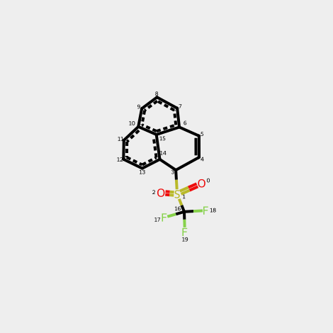 O=S(=O)(C1C=Cc2cccc3cccc1c23)C(F)(F)F